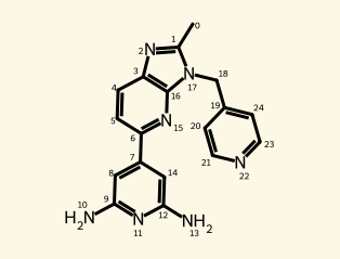 Cc1nc2ccc(-c3cc(N)nc(N)c3)nc2n1Cc1ccncc1